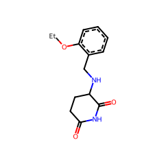 CCOc1ccccc1CNC1CCC(=O)NC1=O